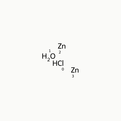 Cl.O.[Zn].[Zn]